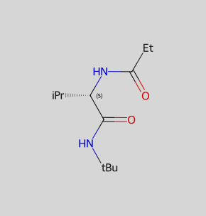 CCC(=O)N[C@H](C(=O)NC(C)(C)C)C(C)C